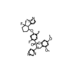 COc1ccc(CN(c2ccncn2)S(=O)(=O)c2cc(F)c(OC3CCCC(F)(F)C3c3ccnn3C)cc2F)c(OC)c1